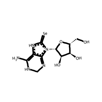 NC1=c2[nH]c(=[Se])n([C@@H]3O[C@H](CO)[C@@H](O)[C@H]3O)c2=NCN1